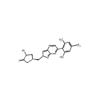 Cc1cc(C(F)(F)F)cc(O)c1-c1cnc2cn(C[C@H]3CC(=O)N(C(C)C)C3)nc2n1